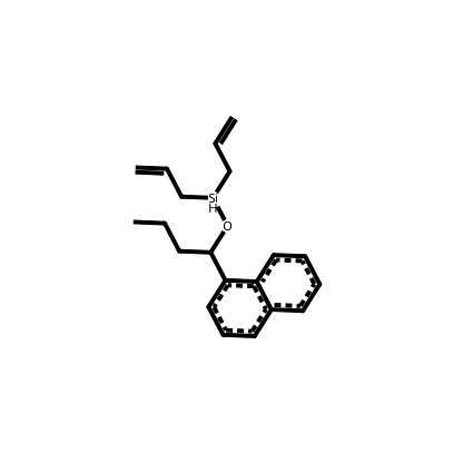 C=CC[SiH](CC=C)OC(CCC)c1cccc2ccccc12